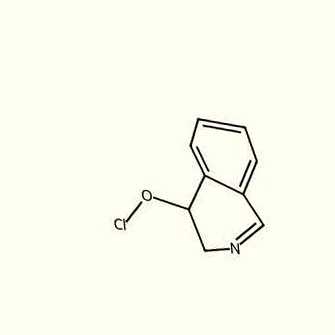 ClOC1CN=Cc2ccccc21